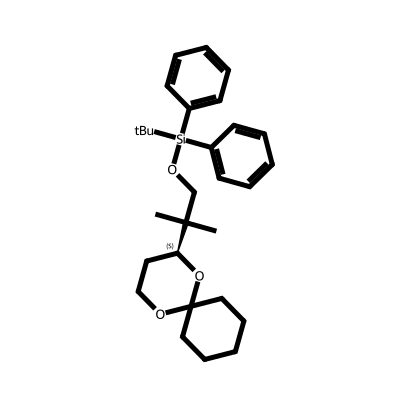 CC(C)(CO[Si](c1ccccc1)(c1ccccc1)C(C)(C)C)[C@@H]1CCOC2(CCCCC2)O1